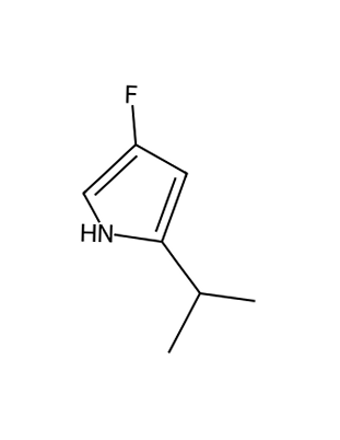 CC(C)c1cc(F)c[nH]1